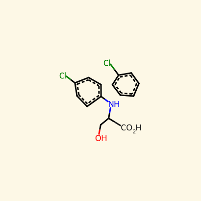 Clc1ccccc1.O=C(O)C(CO)Nc1ccc(Cl)cc1